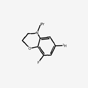 [2H]c1cc(F)c2c(c1)N(C(C)C)CCO2